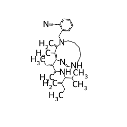 C=C(NC(C(=C)CC)C(C)C)C(=C/C)/C1=C(\C)C(=C)N(Cc2ccccc2C#N)CCCCCN\C=N\1